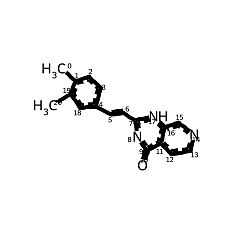 Cc1ccc(/C=C/c2nc(=O)c3ccncc3[nH]2)cc1C